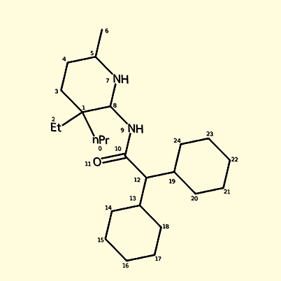 CCCC1(CC)CCC(C)NC1NC(=O)C(C1CCCCC1)C1CCCCC1